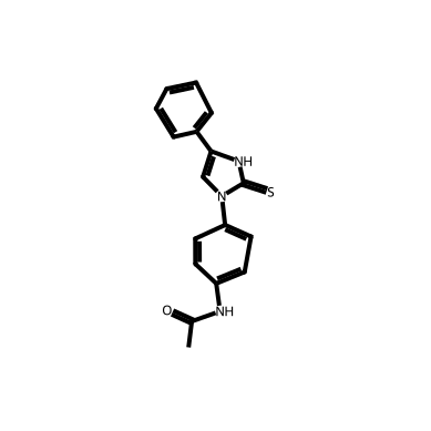 CC(=O)Nc1ccc(-n2cc(-c3ccccc3)[nH]c2=S)cc1